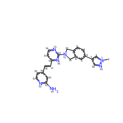 Cn1cc(-c2ccc3c(c2)CN(c2nccc(/C=C/c4ccnc(N)c4)n2)C3)cn1